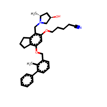 Cc1c(COc2cc(OCCCCC#N)c(CN3C[C@H](O)C[C@H]3C)c3c2CCC3)cccc1-c1ccccc1